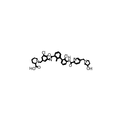 Cc1c(-c2nc3cc(CN4CCCCC4C(=O)O)cc(Cl)c3o2)cccc1-c1cccc(NC(=O)c2ccc(CN3CCC(O)C3)cn2)c1Cl